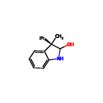 CC(C)[C@]1(C)c2ccccc2NC1O